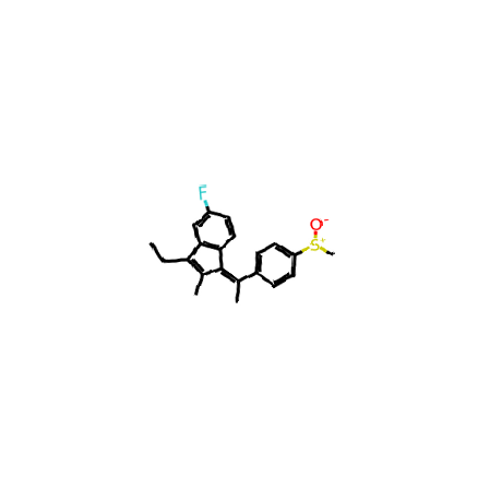 CCC1=C(C)/C(=C(\C)c2ccc([S+](C)[O-])cc2)c2ccc(F)cc21